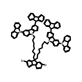 Brc1ccc2c(c1)C(CCCCCCCCn1c3ccc(C4c5ccccc5-c5ccccc54)cc3c3cc(-n4c5ccccc5c5ccccc54)ccc31)(CCCCCCCCn1c3ccc(C4c5ccccc5-c5ccccc54)cc3c3cc(-n4c5ccccc5c5ccccc54)ccc31)c1cc(Br)ccc1-2